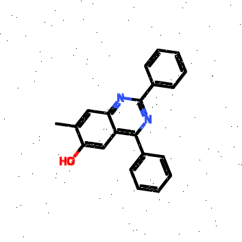 Cc1cc2nc(-c3ccccc3)nc(-c3ccccc3)c2cc1O